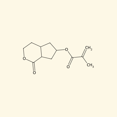 C=C(C)C(=O)OC1CC2CCOC(=O)C2C1